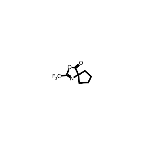 O=C1OC(C(F)(F)F)=NC12CCCC2